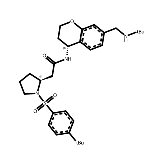 CC(C)(C)NCc1ccc2c(c1)OCC[C@H]2NC(=O)C[C@@H]1CCCN1S(=O)(=O)c1ccc(C(C)(C)C)cc1